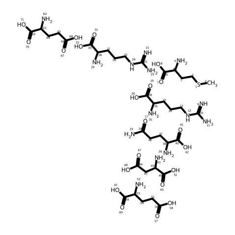 CSCCC(N)C(=O)O.N=C(N)NCCCC(N)C(=O)O.N=C(N)NCCCC(N)C(=O)O.NC(=O)CCC(N)C(=O)O.NC(CC(=O)O)C(=O)O.NC(CCC(=O)O)C(=O)O.NC(CCC(=O)O)C(=O)O